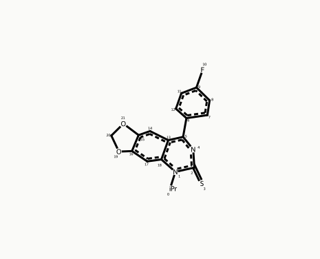 CC(C)n1c(=S)nc(-c2ccc(F)cc2)c2cc3c(cc21)OCO3